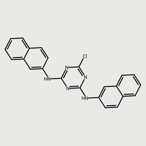 Clc1nc(Nc2ccc3ccccc3c2)nc(Nc2ccc3ccccc3c2)n1